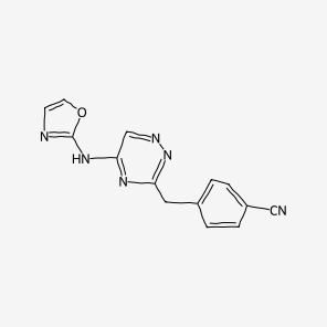 N#Cc1ccc(Cc2nncc(Nc3ncco3)n2)cc1